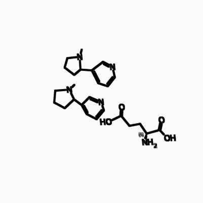 CN1CCCC1c1cccnc1.CN1CCCC1c1cccnc1.N[C@@H](CCC(=O)O)C(=O)O